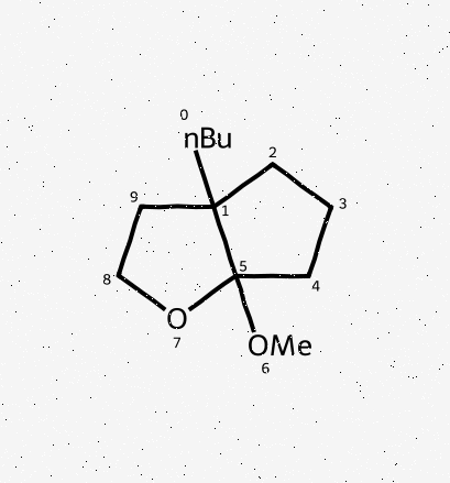 CCCCC12CCCC1(OC)OCC2